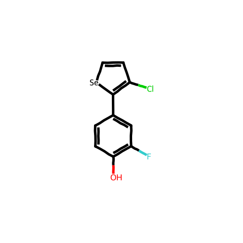 Oc1ccc(-c2[se]ccc2Cl)cc1F